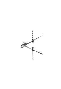 CCCCCCCCCCN(CCCCCCCCCC)C(=O)CCCCCCCN(CCCCCCCC(=O)N(CCCCCCCCCC)CCCCCCCCCC)[C@@H]1COCC[C@@H]1O